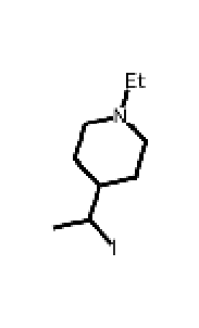 CCN1CCC(C(C)I)CC1